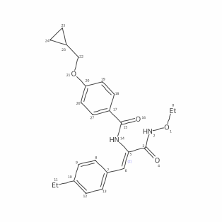 CCONC(=O)/C(=C/c1ccc(CC)cc1)NC(=O)c1ccc(OCC2CC2)cc1